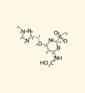 Cn1cnc(COc2cc(NC(=O)O)nc(S(C)(=O)=O)n2)n1